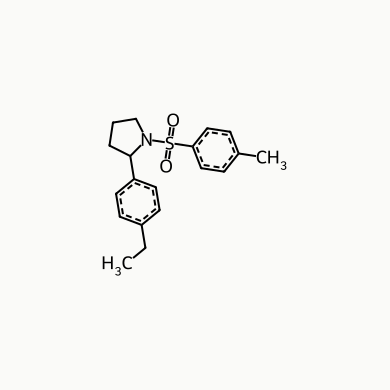 CCc1ccc(C2CCCN2S(=O)(=O)c2ccc(C)cc2)cc1